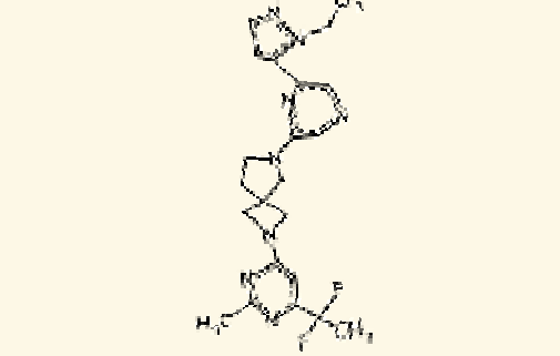 Cc1nc(N2CC3(CCN(c4cncc(-c5ccnn5CC(F)(F)F)n4)C3)C2)cc(C(C)(F)F)n1